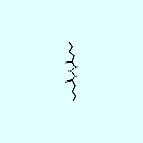 CCCCC(=O)NBNC(=O)CCCC